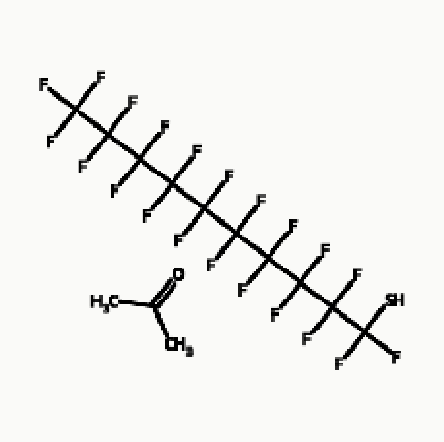 CC(C)=O.FC(F)(F)C(F)(F)C(F)(F)C(F)(F)C(F)(F)C(F)(F)C(F)(F)C(F)(F)C(F)(F)C(F)(F)S